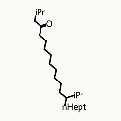 CCCCCCCC(CCCCCCCCCC(=O)CC(C)C)C(C)C